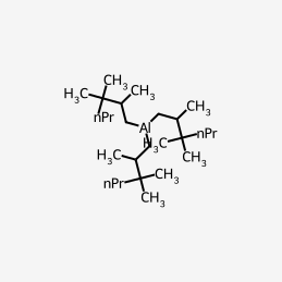 CCCC(C)(C)C(C)[CH2][Al]([CH2]C(C)C(C)(C)CCC)[CH2]C(C)C(C)(C)CCC